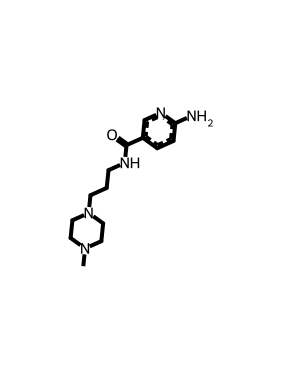 CN1CCN(CCCNC(=O)c2ccc(N)nc2)CC1